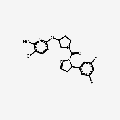 N#Cc1nc(OC2CCN(C(=O)N3N=CCC3c3cc(F)cc(F)c3)C2)ccc1Cl